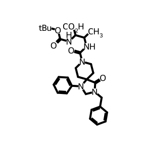 CC(NC(=O)N1CCC2(CC1)C(=O)N(Cc1ccccc1)CN2c1ccccc1)C(NC(=O)OC(C)(C)C)C(=O)O